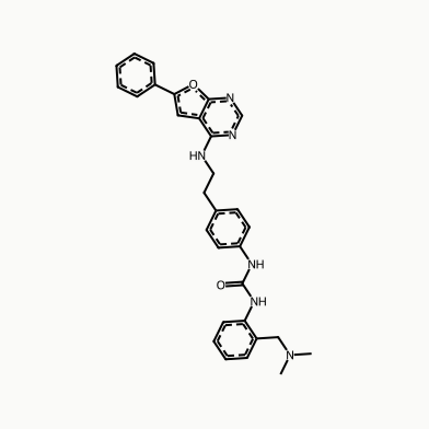 CN(C)Cc1ccccc1NC(=O)Nc1ccc(CCNc2ncnc3oc(-c4ccccc4)cc23)cc1